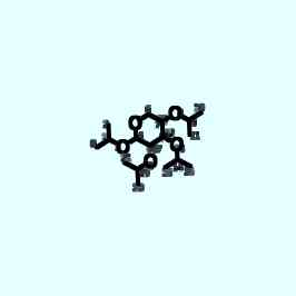 CC(C)OC1OC[C@@H](OC(C)C)[C@@H](OC(C)C)[C@@H]1OC(C)C